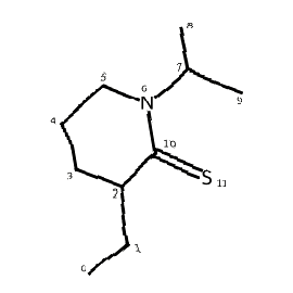 CCC1CCCN(C(C)C)C1=S